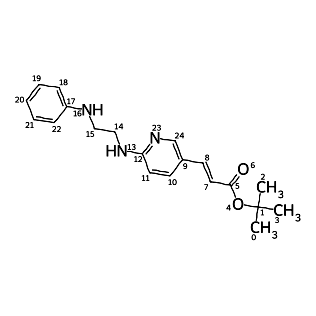 CC(C)(C)OC(=O)C=Cc1ccc(NCCNc2ccccc2)nc1